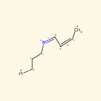 C/C=C\C=N/CCCC(C)C